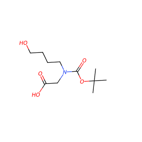 CC(C)(C)OC(=O)N(CCCCO)CC(=O)O